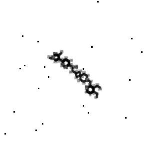 CCc1ccnc(CN2CCC3(CC2)CC(CNc2ccc(-c4cn(C)nc4C)nn2)C3)c1CC